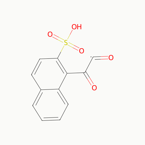 O=[C]C(=O)c1c(S(=O)(=O)O)ccc2ccccc12